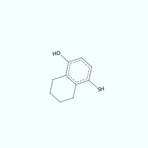 Oc1ccc(S)c2c1CCCC2